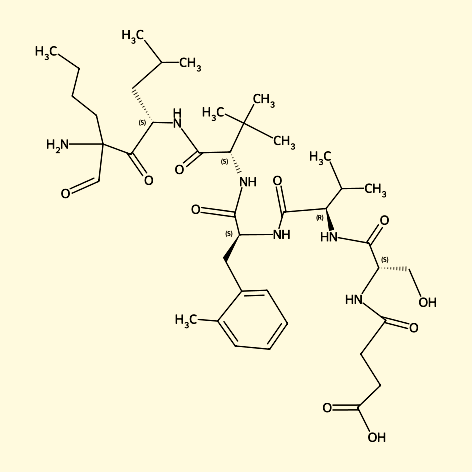 CCCCC(N)(C=O)C(=O)[C@H](CC(C)C)NC(=O)[C@@H](NC(=O)[C@H](Cc1ccccc1C)NC(=O)[C@H](NC(=O)[C@H](CO)NC(=O)CCC(=O)O)C(C)C)C(C)(C)C